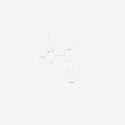 CCS(=O)(=O)Nc1ccc(Oc2ccc(Cl)cc2C#N)c(-c2cn(C)c(=O)c3cn(C)nc23)c1